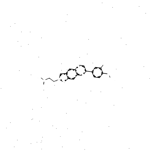 COc1ccc(-c2cnc3cc4cn(CCN(C)C)nc4cc3n2)cc1F